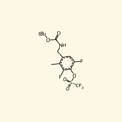 Cc1c(CNC(=O)OC(C)(C)C)cc(F)c(OS(=O)(=O)C(F)(F)F)c1F